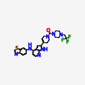 O=C(N1CC=C(c2cc3c(Nc4ccc5ncsc5c4)ccnc3[nH]2)CC1)N1CCN(CC(F)(F)F)CC1